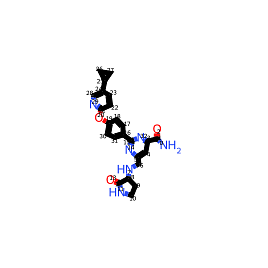 NC(=O)c1cc(CNC2CCNC2=O)nc(-c2ccc(Oc3ccc(C4CC4)cn3)cc2)n1